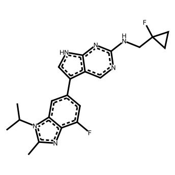 Cc1nc2c(F)cc(-c3c[nH]c4nc(NCC5(F)CC5)ncc34)cc2n1C(C)C